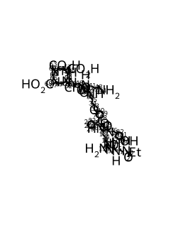 CCC(=O)NCCNC(=O)/N=C(/N)NCCC[C@@H](NC(=O)[C@@H](c1ccccc1)c1cccc(OCCCCNC(=O)[C@@H](CCCN)NC(=O)CCNC(C=O)N2CCN(CC(=O)O)CCN(CC(=O)O)CCN(CC(=O)O)CC2)c1)C(=O)NCc1ccc(O)cc1